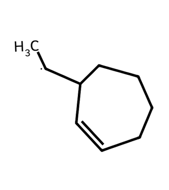 C[CH]C1C=CCCCC1